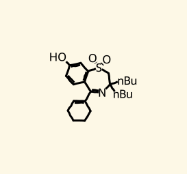 CCCCC1(CCCC)CS(=O)(=O)c2cc(O)ccc2C(C2=CCCCC2)=N1